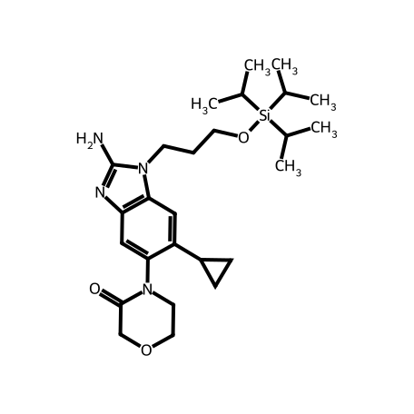 CC(C)[Si](OCCCn1c(N)nc2cc(N3CCOCC3=O)c(C3CC3)cc21)(C(C)C)C(C)C